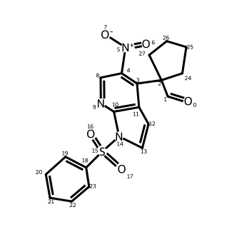 O=CC1(c2c([N+](=O)[O-])cnc3c2ccn3S(=O)(=O)c2ccccc2)CCCC1